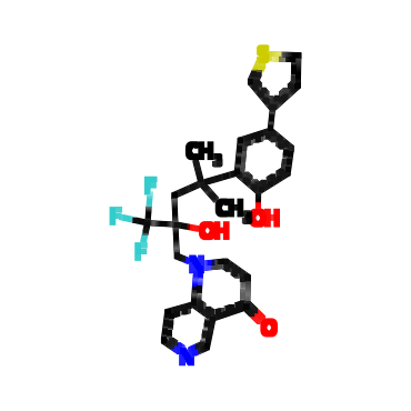 CC(C)(CC(O)(Cn1ccc(=O)c2cnccc21)C(F)(F)F)c1cc(-c2ccsc2)ccc1O